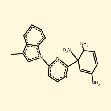 Cc1cn(-c2ccnc(C3([N+](=O)[O-])C=C(N)C=CC3N)n2)c2ccccc12